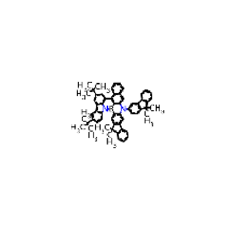 CC(C)(C)c1ccc2c(c1)c1cc(C(C)(C)C)cc3c1n2B1c2cc4c(cc2N(c2ccc5c(c2)-c2ccccc2C5(C)C)c2cc5ccccc5c-3c21)-c1ccccc1C4(C)C